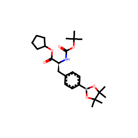 CC(C)(C)OC(=O)N[C@@H](Cc1ccc(B2OC(C)(C)C(C)(C)O2)cc1)C(=O)OC1CCCC1